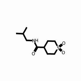 CC(C)CNC(=O)C1CCS(=O)(=O)CC1